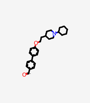 O=[C]c1ccc(-c2ccc(OCCC3CCN(C4CCCCC4)CC3)cc2)cc1